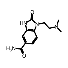 CN(C)CCn1c(=O)[nH]c2cc(C(N)=O)ccc21